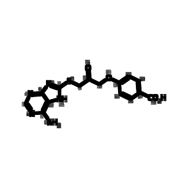 Nc1ncnc2nc(SCC(=O)COc3ccc(C(=O)O)cc3)[nH]c12